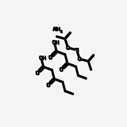 CC(C)[O][Ti][O]C(C)C.CCCC(=O)CC(=O)O.CCCC(=O)CC(=O)O.[AlH3]